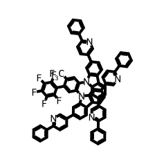 Fc1c(F)c(F)c(-c2cc(-n3c4cc(-c5ccc(-c6ccccc6)nc5)ccc4c4ccc(-c5ccc(-c6ccccc6)nc5)cc43)c(-n3c4cc(-c5ccc(-c6ccccc6)nc5)ccc4c4ccc(-c5ccc(-c6ccccc6)nc5)cc43)cc2C(F)(F)F)c(F)c1F